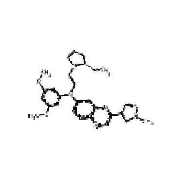 CC[C@@H]1CCCN1CCN(c1cc(OC)cc(OC)c1)c1ccc2ncc(C3C=NN(C)C3)nc2c1